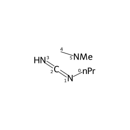 CCCN=C=N.CNC